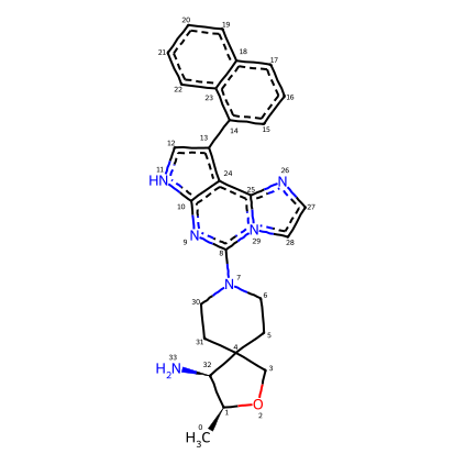 C[C@@H]1OCC2(CCN(c3nc4[nH]cc(-c5cccc6ccccc56)c4c4nccn34)CC2)[C@@H]1N